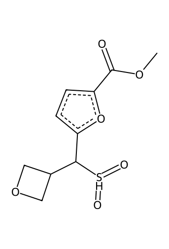 COC(=O)c1ccc(C(C2COC2)[SH](=O)=O)o1